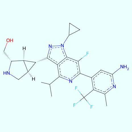 Cc1nc(N)cc(-c2nc(C(C)C)c3c([C@@H]4[C@H]5CN[C@H](CO)[C@H]54)nn(C4CC4)c3c2F)c1C(F)(F)F